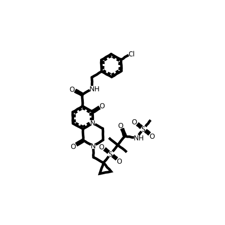 CC(C)(C(=O)NS(C)(=O)=O)S(=O)(=O)C1(CN2CCn3c(ccc(C(=O)NCc4ccc(Cl)cc4)c3=O)C2=O)CC1